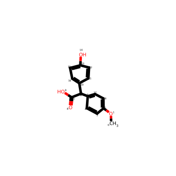 COc1ccc(C(C(=O)O)c2ccc(O)cc2)cc1